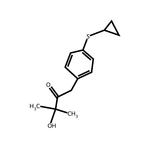 CC(C)(O)C(=O)Cc1ccc(SC2CC2)cc1